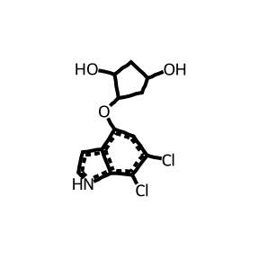 OC1CC(O)C(Oc2cc(Cl)c(Cl)c3[nH]ccc23)C1